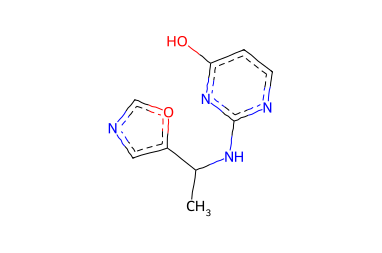 CC(Nc1nccc(O)n1)c1cnco1